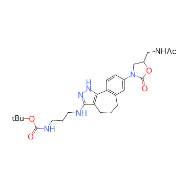 CC(=O)NCC1CN(c2ccc3c(c2)CCCc2c(NCCCNC(=O)OC(C)(C)C)n[nH]c2-3)C(=O)O1